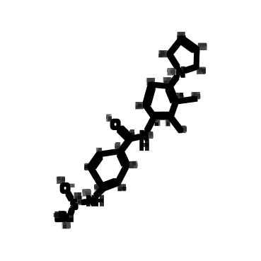 Cc1c(NC(=O)c2ccc(N[S+]([O-])C(C)(C)C)cc2)ccc(N2CC=CC2)c1C